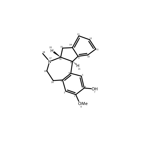 COc1cc2c(cc1O)[C@@H]1c3ccccc3C[C@H]1N(C)CC2